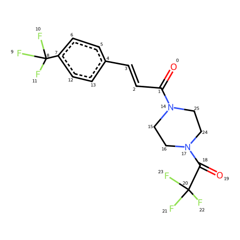 O=C(C=Cc1ccc(C(F)(F)F)cc1)N1CCN(C(=O)C(F)(F)F)CC1